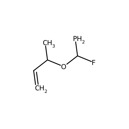 C=CC(C)OC(F)P